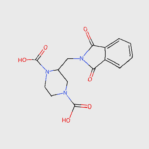 O=C(O)N1CCN(C(=O)O)C(CN2C(=O)c3ccccc3C2=O)C1